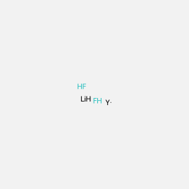 F.F.[LiH].[Y]